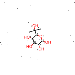 CC(C)(O)C1OC(O)C(O)C(O)C1O